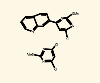 CSc1nc(Cl)cc(-c2ccc3cccnc3c2)n1.CSc1nc(Cl)cc(Cl)n1